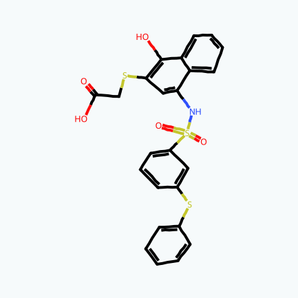 O=C(O)CSc1cc(NS(=O)(=O)c2cccc(Sc3ccccc3)c2)c2ccccc2c1O